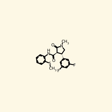 CSc1ccccc1NC(=O)[C@H]1C(=O)N(C)C[C@@H]1c1cc(F)cc(F)c1